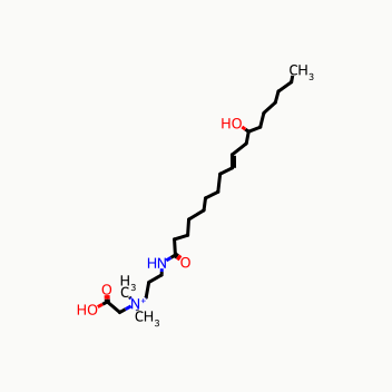 CCCCCCC(O)CC=CCCCCCCCC(=O)NCCC[N+](C)(C)CC(=O)O